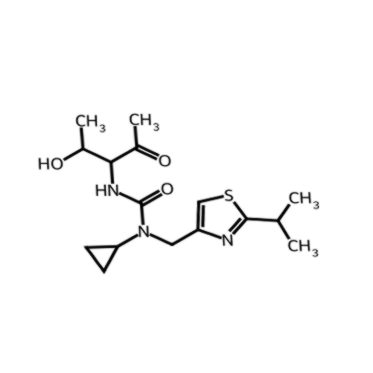 CC(=O)C(NC(=O)N(Cc1csc(C(C)C)n1)C1CC1)C(C)O